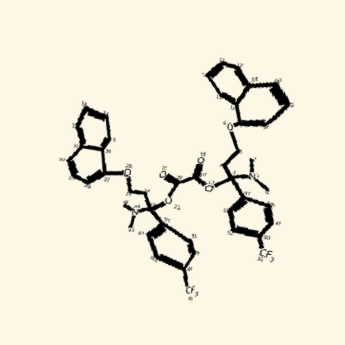 CN(C)C(CCOc1cccc2ccccc12)(OC(=O)C(=O)OC(CCOc1cccc2ccccc12)(c1ccc(C(F)(F)F)cc1)N(C)C)c1ccc(C(F)(F)F)cc1